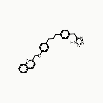 c1ccc2nc(COc3ccc(CCCc4ccc(Cc5nnn[nH]5)cc4)cc3)ccc2c1